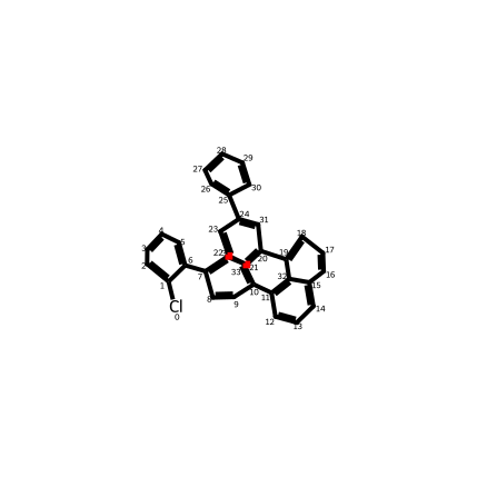 Clc1ccccc1-c1ccc(-c2cccc3cccc(-c4cccc(-c5ccccc5)c4)c23)cc1